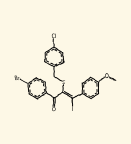 COc1ccc(C(I)=C(SCc2ccc(Cl)cc2)C(=O)c2ccc(Br)cc2)cc1